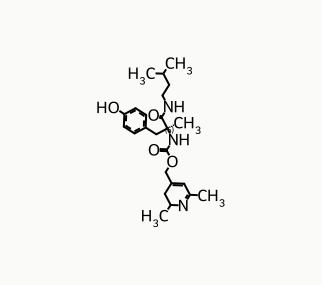 CC1=NC(C)CC(COC(=O)N[C@@](C)(Cc2ccc(O)cc2)C(=O)NCCC(C)C)=C1